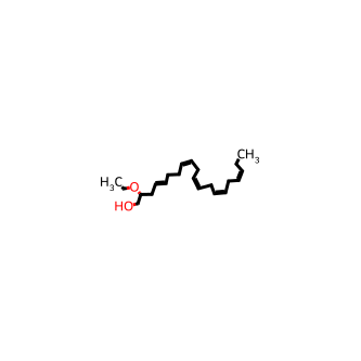 CC/C=C\C/C=C\C/C=C\C/C=C\CC/C=C/CC(CO)OCC